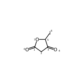 O=C1CC(=O)C(I)O1